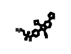 CCCS(=O)(=O)Nc1ccc(-c2c(C#N)c3ccc(-n4cccn4)cc3n2C2CCC2)cc1